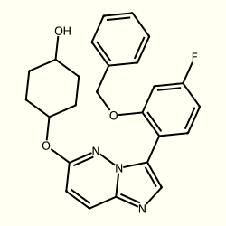 OC1CCC(Oc2ccc3ncc(-c4ccc(F)cc4OCc4ccccc4)n3n2)CC1